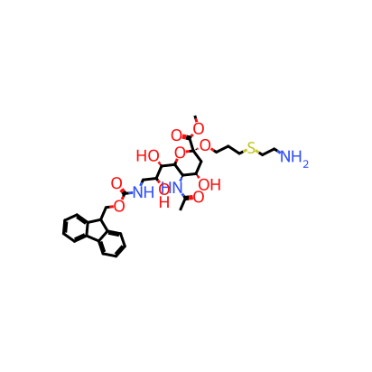 COC(=O)[C@@]1(OCCCSCCN)C[C@@H](O)[C@@H](NC(C)=O)C([C@H](O)C(O)CNC(=O)OCC2c3ccccc3-c3ccccc32)O1